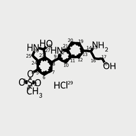 CS(=O)(=O)Oc1ccc(-c2cc3cc(C(N)CCO)ccc3[nH]2)c2c1CNC2O.Cl